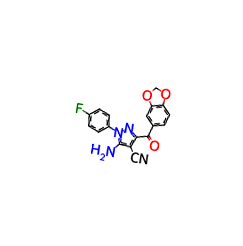 N#Cc1c(C(=O)c2ccc3c(c2)OCO3)nn(-c2ccc(F)cc2)c1N